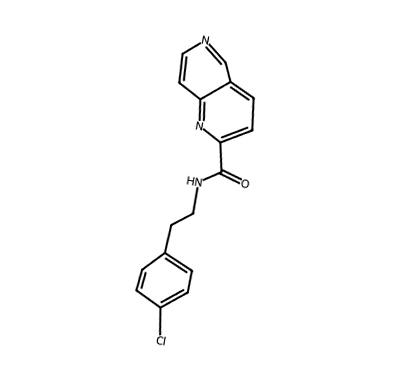 O=C(NCCc1ccc(Cl)cc1)c1ccc2cnccc2n1